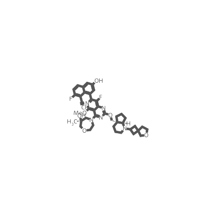 C#Cc1c(F)ccc2cc(O)cc(-c3nc(OC)c4c(N5CCOC[C@@](C)(O)C5)nc(OC[C@]56CCC[C@H]5N(C5CC7(CCOC7)C5)CCC6)nc4c3F)c12